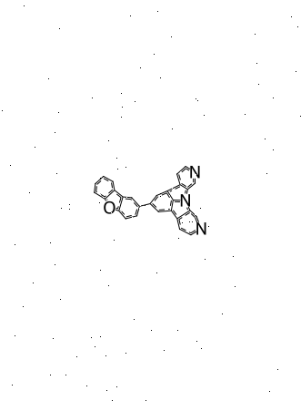 c1ccc2c(c1)oc1ccc(-c3cc4c5ccncc5n5c6cnccc6c(c3)c45)cc12